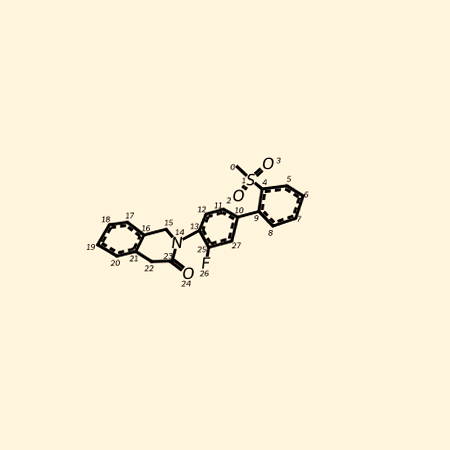 CS(=O)(=O)c1ccccc1-c1ccc(N2Cc3ccccc3CC2=O)c(F)c1